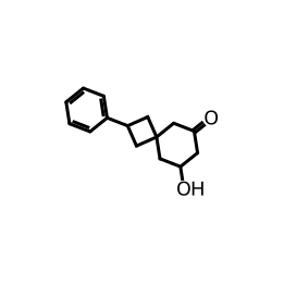 O=C1CC(O)CC2(C1)CC(c1ccccc1)C2